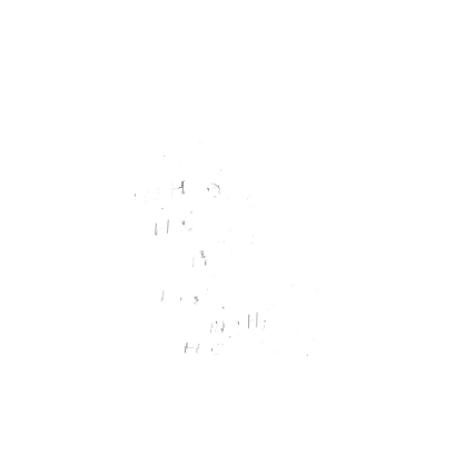 CC(OC[C@@H](O)CNC(C)(C)Cc1ccc2ccccc2c1)c1ccccc1OCc1ccccc1C(=O)O